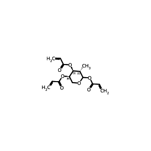 C=CC(=O)OC1OC[C@@H](OC(=O)C=C)[C@@H](OC(=O)C=C)[C@@H]1C